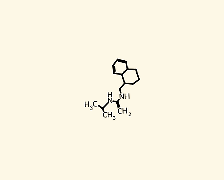 C=C(NCC1CCCC2C=CC=CC21)NC(C)C